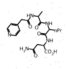 CCCC(NC(=O)C(C)NC(=O)Cc1ccncc1)C(=O)NC(CC(N)=O)C(=O)O